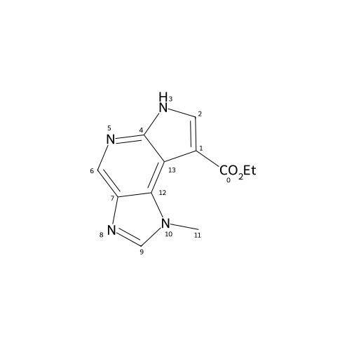 CCOC(=O)c1c[nH]c2ncc3ncn(C)c3c12